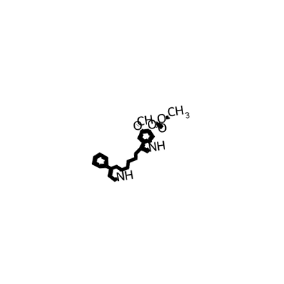 CCOC(=O)Oc1cc2[nH]cc(CCCCC3CC(c4ccccc4)=CCN3)c2cc1OC